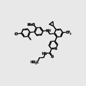 COc1cc(NCc2c(-c3ccc(C(=O)NCCC(=O)O)nc3)cc(C(F)(F)F)cc2C2CC2)ccc1-c1ccc(Cl)cc1C